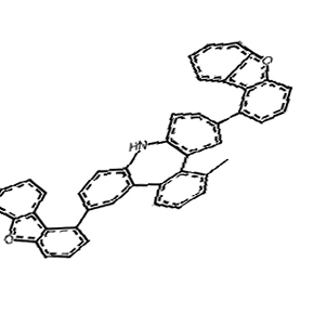 Cc1cccc2c1-c1cc(-c3cccc4oc5ccccc5c34)ccc1Nc1ccc(-c3cccc4oc5ccccc5c34)cc1-2